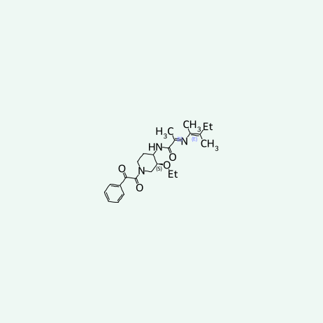 CCO[C@H]1CN(C(=O)C(=O)c2ccccc2)CCC1NC(=O)/C(C)=N/C(C)=C(\C)CC